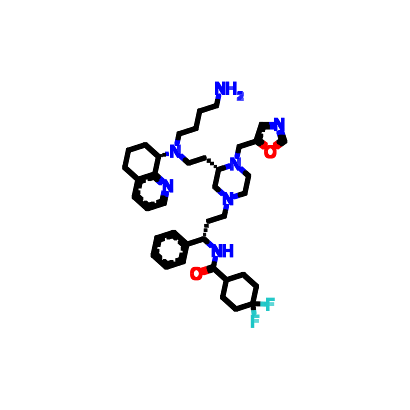 NCCCCN(CC[C@H]1CN(CC[C@H](NC(=O)C2CCC(F)(F)CC2)c2ccccc2)CCN1Cc1cnco1)[C@H]1CCCc2cccnc21